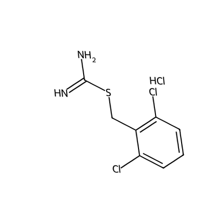 Cl.N=C(N)SCc1c(Cl)cccc1Cl